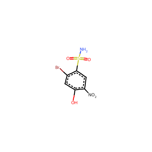 NS(=O)(=O)c1cc([N+](=O)[O-])c(O)cc1Br